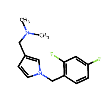 CN(C)Cc1ccn(Cc2ccc(F)cc2F)c1